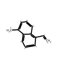 C=Cc1cccc2c(C)cccc12